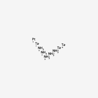 N.N.N.N.N.[Pt].[Ta].[Ta].[Ta]